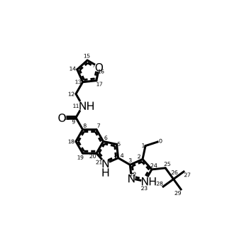 CCc1c(-c2cc3cc(C(=O)NCc4ccoc4)ccc3[nH]2)n[nH]c1CC(C)(C)C